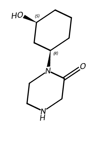 O=C1CNCCN1[C@@H]1CCC[C@H](O)C1